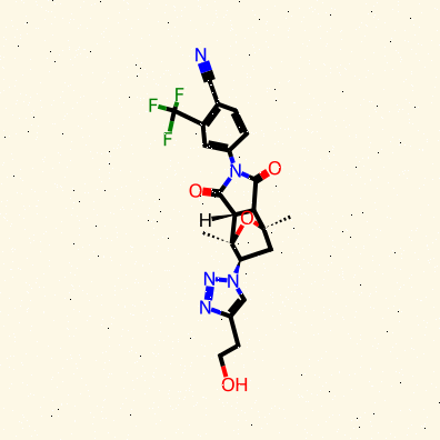 C[C@]12O[C@](C)(C[C@H]1n1cc(CCO)nn1)C1C(=O)N(c3ccc(C#N)c(C(F)(F)F)c3)C(=O)[C@H]12